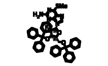 CSc1nc(N)nc2c1ncn2[C@@H]1O[C@H](COC(c2ccccc2)(c2ccccc2)c2ccccc2)[C@@H](OC(c2ccccc2)(c2ccccc2)c2ccccc2)[C@@H]1F